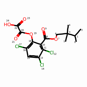 CC(C)C(C)(C)COC(=O)c1c(Cl)c(Cl)cc(Cl)c1OC(=O)C(=O)O